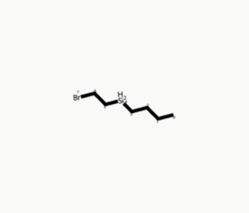 CCCC[SiH2]CCBr